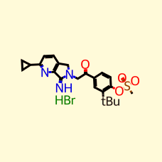 Br.CC(C)(C)c1cc(C(=O)CN2Cc3ccc(C4CC4)nc3C2=N)ccc1OS(C)(=O)=O